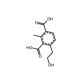 Cc1c(C(=O)O)ccc(CCO)c1C(=O)O